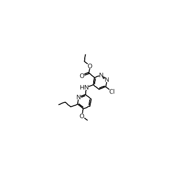 CCCc1nc(Nc2cc(Cl)nnc2C(=O)OCC)ccc1OC